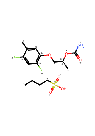 CCCCS(=O)(=O)O.Cc1cc(OC[C@H](C)OC(N)=O)c(F)cc1F